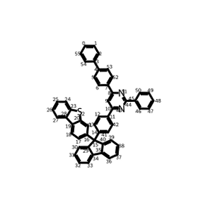 c1ccc(-c2ccc(-c3cc(-c4ccc(C5(c6ccc7c(c6)sc6ccccc67)c6ccccc6-c6ccccc65)cc4)nc(-c4ccccc4)n3)cc2)cc1